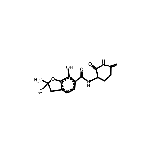 CC1(C)Cc2ccc(C(=O)NC3CCC(=O)NC3=O)c(O)c2O1